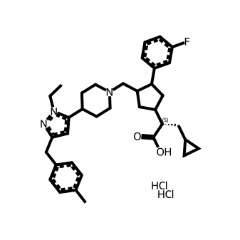 CCn1nc(Cc2ccc(C)cc2)cc1C1CCN(CC2CC([C@H](CC3CC3)C(=O)O)CC2c2cccc(F)c2)CC1.Cl.Cl